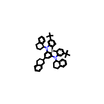 CC(C)(C)c1ccc2c(c1)N(C1CCCc3ccccc31)c1cc(C3CCc4ccccc4C3)cc3c1B2c1ccc(C(C)(C)C)cc1N3C1CCCc2ccccc21